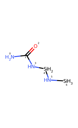 NC(=O)N[SiH2]N[SiH3]